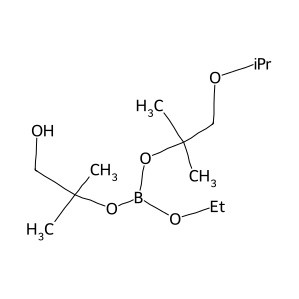 CCOB(OC(C)(C)CO)OC(C)(C)COC(C)C